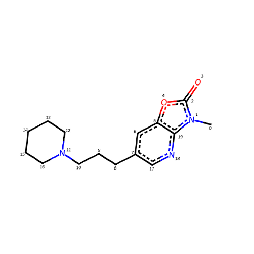 Cn1c(=O)oc2cc(CCCN3CCCCC3)cnc21